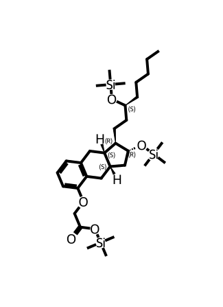 CCCCC[C@@H](CC[C@@H]1[C@H]2Cc3cccc(OCC(=O)O[Si](C)(C)C)c3C[C@H]2C[C@H]1O[Si](C)(C)C)O[Si](C)(C)C